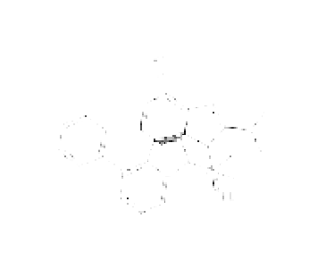 CC1=Cc2c(-c3ccccc3)cccc2[CH]1[Zr]([CH3])([CH3])(=[SiH2])[CH]1C(C(C)C)=Cc2ccccc21.Cl.Cl